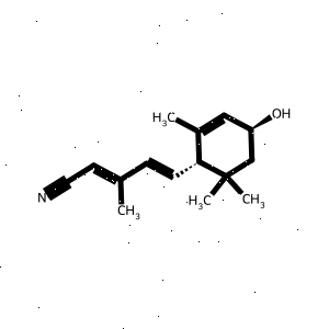 CC1=C[C@@H](O)CC(C)(C)[C@@H]1/C=C/C(C)=C/C#N